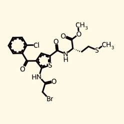 COC(=O)[C@H](CCSC)NC(=O)c1cc(C(=O)c2ccccc2Cl)c(NC(=O)CBr)s1